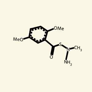 COc1ccc(OC)c(C(=O)SN(C)N)c1